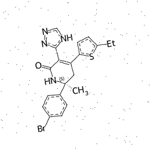 CCc1ccc(C2=C(c3nnc[nH]3)C(=O)N[C@](C)(c3ccc(Br)cc3)C2)s1